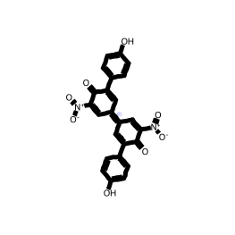 O=C1C(c2ccc(O)cc2)=C/C(=C2/C=C(c3ccc(O)cc3)C(=O)C([N+](=O)[O-])=C2)C=C1[N+](=O)[O-]